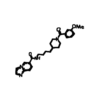 COc1cccc(C(=O)N2CCC(CCCCNC(=O)c3ccc4nccn4c3)CC2)c1